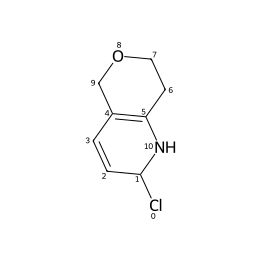 ClC1C=CC2=C(CCOC2)N1